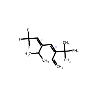 C=C/C(=C\C(=C\C(F)(F)F)C(C)C)C(C)(C)P